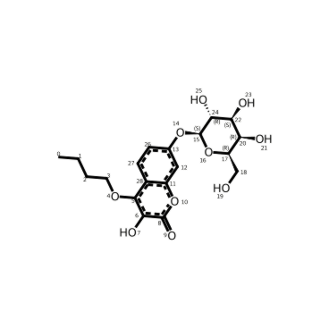 CCCCOc1c(O)c(=O)oc2cc(O[C@@H]3O[C@H](CO)[C@H](O)[C@H](O)[C@H]3O)ccc12